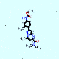 COC(=O)Nc1ccc(-c2cc3nc(C(=O)N(C)C)cc(C)n3n2)c(C)c1